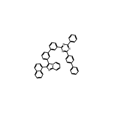 c1ccc(-c2ccc(-c3nc(-c4ccccc4)nc(-c4cccc(-c5cccc(-c6c(-c7cccc8ccccc78)nc7ccccn67)c5)c4)n3)cc2)cc1